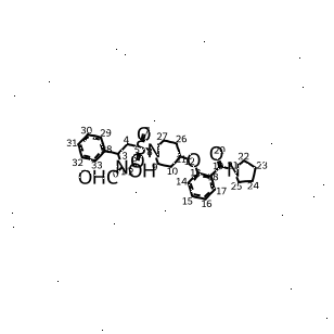 O=CN(O)C(CS(=O)(=O)N1CCC(Oc2ccccc2C(=O)N2CCCC2)CC1)c1ccccc1